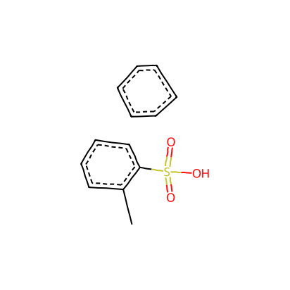 Cc1ccccc1S(=O)(=O)O.c1ccccc1